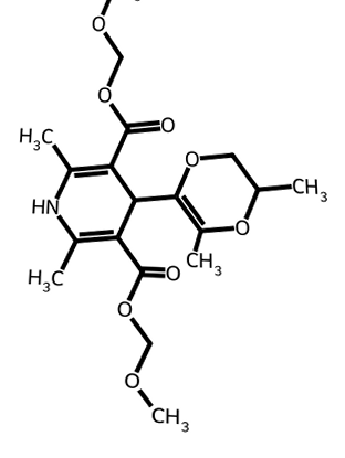 COCOC(=O)C1=C(C)NC(C)=C(C(=O)OCOC)C1C1=C(C)OC(C)CO1